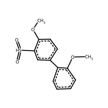 COc1ccccc1-c1ccc(OC)c([SH](=O)=O)c1